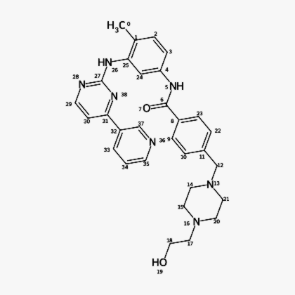 Cc1ccc(NC(=O)c2ccc(CN3CCN(CCO)CC3)cc2)cc1Nc1nccc(-c2cccnc2)n1